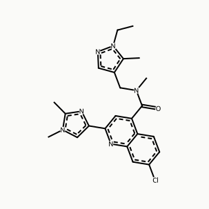 CCn1ncc(CN(C)C(=O)c2cc(-c3cn(C)c(C)n3)nc3cc(Cl)ccc23)c1C